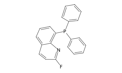 Fc1ccc2cccc(P(c3ccccc3)c3ccccc3)c2n1